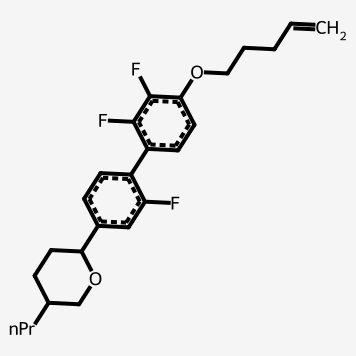 C=CCCCOc1ccc(-c2ccc(C3CCC(CCC)CO3)cc2F)c(F)c1F